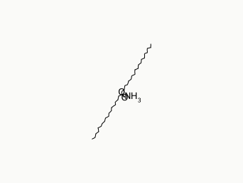 CCCCCCCCCCCCCCCCCCOC(=O)CCCCCCCCCCCCCCCCC.N